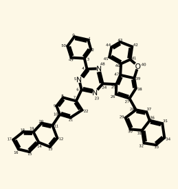 c1ccc(-c2nc(-c3ccc(-c4ccc5ccccc5c4)cc3)nc(-c3cc(-c4ccc5ccccc5c4)cc4oc5ccccc5c34)n2)cc1